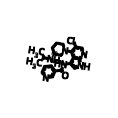 CC(C)N[C@@H]1CCCN(c2c(Cl)cnc3[nH]cc(NC(=O)c4cccnc4)c23)C1